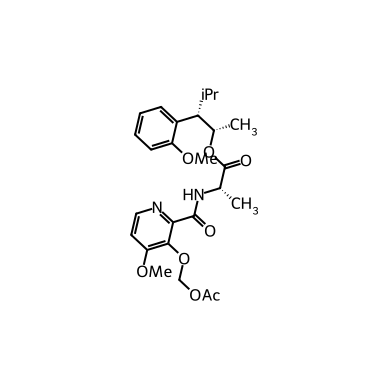 COc1ccccc1[C@H](C(C)C)[C@H](C)OC(=O)[C@H](C)NC(=O)c1nccc(OC)c1OCOC(C)=O